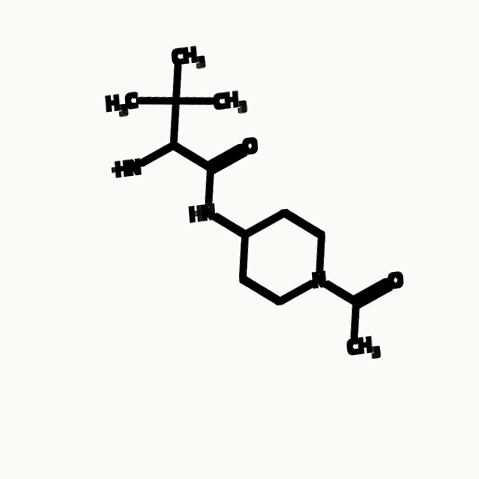 CC(=O)N1CCC(NC(=O)C([NH])C(C)(C)C)CC1